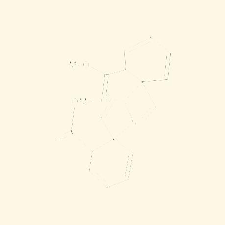 C=CC1(SSC2(C=C)C=CC=CC2C(=O)OC)C=CC=CC1C(=O)OC